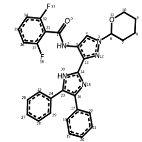 O=C(Nc1cn(C2CCCCO2)nc1-c1nc(-c2ccccc2)c(-c2ccccc2)[nH]1)c1c(F)cccc1F